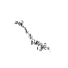 CN(C)C(=O)c1cc2cnc(Nc3ccc(N4CCN(C5CN(C6CN(C7CN(C(=O)OC(C)(C)C)C7)C6)C5)CC4)cn3)nc2n1C1CCCC1